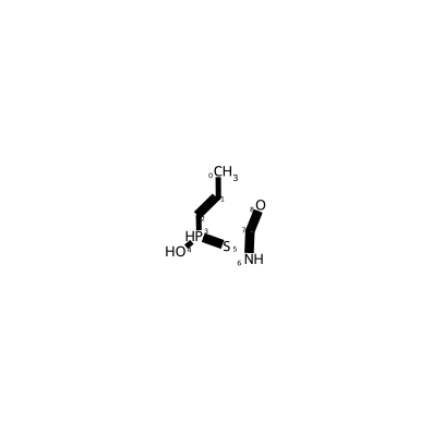 CC=C[PH](O)=S.N=C=O